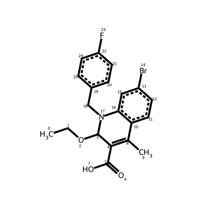 CCOC1C(C(=O)O)=C(C)c2ccc(Br)cc2N1Cc1ccc(F)cc1